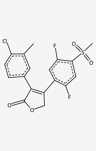 Cc1cc(C2=C(c3cc(F)c(S(C)(=O)=O)cc3F)COC2=O)ccc1Cl